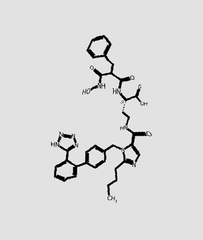 CCCCc1ncc(C(=O)NCC[C@H](NC(=O)C(Cc2ccccc2)C(=O)NO)C(=O)O)n1Cc1ccc(-c2ccccc2-c2nnn[nH]2)cc1